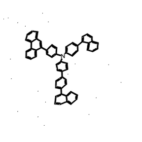 c1ccc2c(-c3ccc(-c4ccc(N(c5ccc(-c6cccc7ccccc67)cc5)c5ccc(-c6cc7ccccc7c7ccccc67)cc5)cc4)cc3)cccc2c1